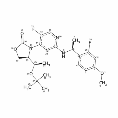 COc1ccc([C@H](C)Nc2ncc(F)c(N3C(=O)OC[C@@H]3[C@@H](C)OC(C)(C)C)n2)c(F)c1